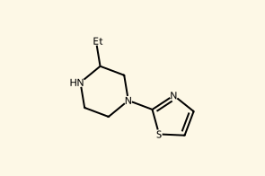 CCC1CN(c2nccs2)CCN1